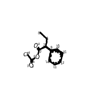 CCC(C(=O)OC(=O)Cl)c1ccccc1